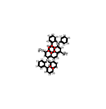 CC(C)c1cc(N(c2ccccc2)c2ccccc2-c2ccccc2)c2ccc3c(C(C)C)cc(N(c4ccccc4)c4ccccc4-c4ccccc4)c4ccc1c2c34